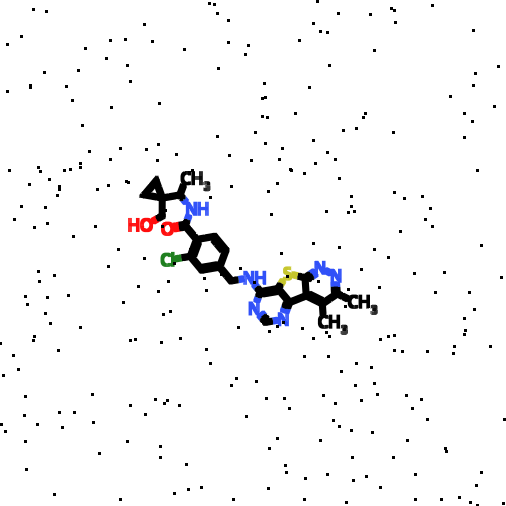 Cc1nnc2sc3c(NCc4ccc(C(=O)NC(C)C5(CO)CC5)c(Cl)c4)ncnc3c2c1C